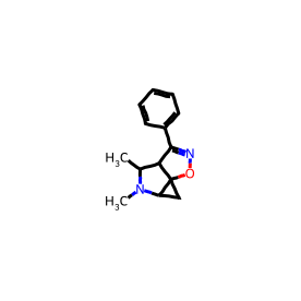 CC1C2C(c3ccccc3)=NOC23CC3N1C